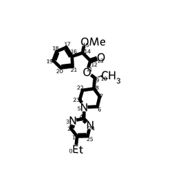 CCc1cnc(N2CCC([C@@H](C)OC(=O)C(OC)c3ccccc3)CC2)nc1